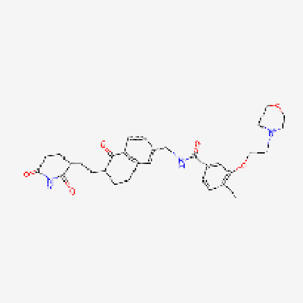 Cc1ccc(C(=O)NCc2ccc3c(c2)CCC(CCC2CCC(=O)NC2=O)C3=O)cc1OCCN1CCOCC1